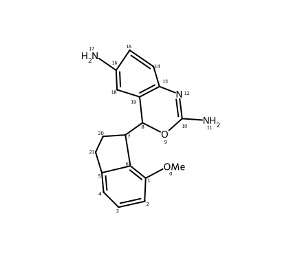 COc1cccc2c1C(C1OC(N)=Nc3ccc(N)cc31)CC2